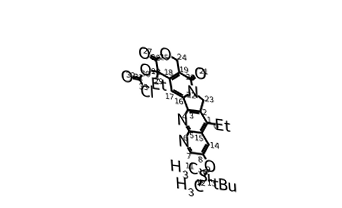 CCc1c2c(nc3ncc(O[Si](C)(C)C(C)(C)C)cc13)-c1cc3c(c(=O)n1C2)COC(=O)C3(CC)OC(=O)Cl